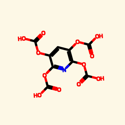 O=C(O)Oc1cc(OC(=O)O)c(OC(=O)O)nc1OC(=O)O